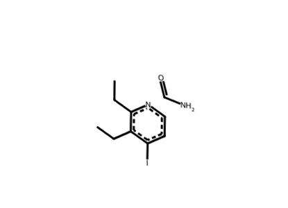 CCc1nccc(I)c1CC.NC=O